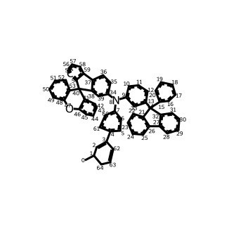 CC1C=C(c2ccc(N(c3cccc(C4(c5ccccc5)c5ccccc5-c5ccccc54)c3)c3ccc4c(c3)C3(c5ccccc5Oc5ccccc53)c3ccccc3-4)cc2)C=CC1